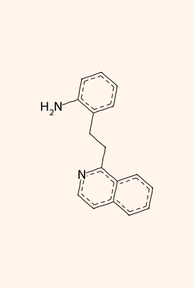 Nc1ccccc1CCc1nccc2ccccc12